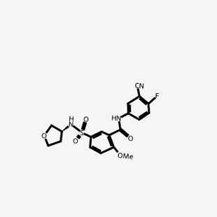 COc1ccc(S(=O)(=O)N[C@H]2CCOC2)cc1C(=O)Nc1ccc(F)c(C#N)c1